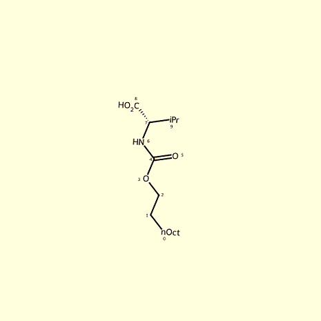 CCCCCCCCCCOC(=O)N[C@H](C(=O)O)C(C)C